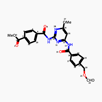 COC(=O)c1ccc(C(=O)Nc2nc(NC(=O)c3ccc(COC=O)cc3)cc(OC)n2)cc1